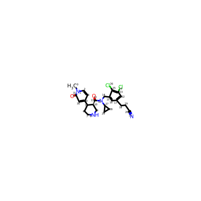 Cn1ccc(C2CCNC[C@@H]2C(=O)N(Cc2cc(CCC#N)cc(Cl)c2Cl)C2CC2)cc1=O